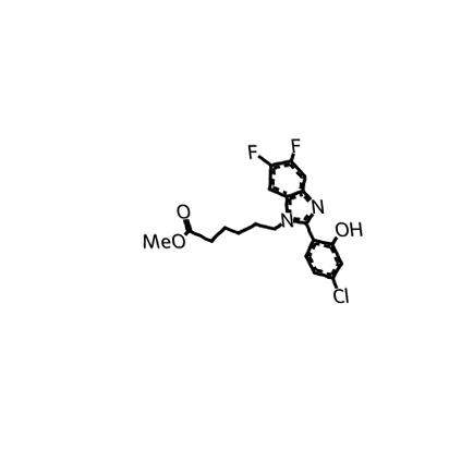 COC(=O)CCCCCn1c(-c2ccc(Cl)cc2O)nc2cc(F)c(F)cc21